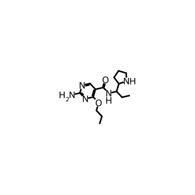 CCCOc1nc(N)ncc1C(=O)NC(CC)C1CCCN1